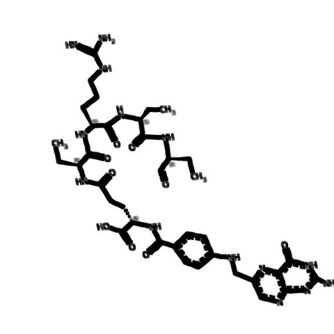 CC[C@@H](C=O)NC(=O)[C@H](CC)NC(=O)[C@H](CCCNC(=N)N)NC(=O)[C@H](CC)NC(=O)CC[C@H](NC(=O)c1ccc(NCc2cnc3nc(N)[nH]c(=O)c3n2)cc1)C(=O)O